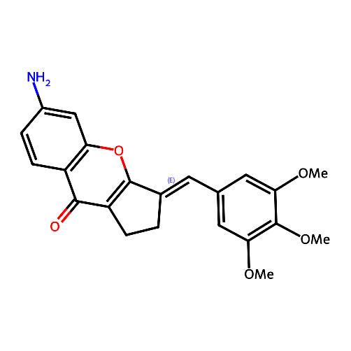 COc1cc(/C=C2\CCc3c2oc2cc(N)ccc2c3=O)cc(OC)c1OC